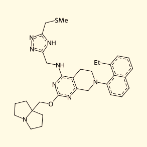 CCc1cccc2cccc(N3CCc4c(nc(OCC56CCCN5CCC6)nc4NCc4nnc(CSC)[nH]4)C3)c12